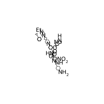 CCN1CCN(C2CC3(CCN(c4ccc(C(=O)NS(=O)(=O)c5cnc(NCC6CCC(N)CC6)c([N+](=O)[O-])c5)c(Oc5cnc6[nH]ccc6c5)c4)CC3)C2)[C@H](c2ccccc2C2CC2)C1